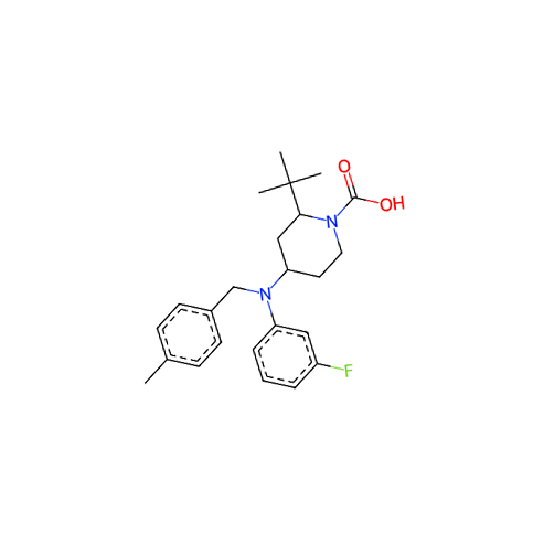 Cc1ccc(CN(c2cccc(F)c2)C2CCN(C(=O)O)C(C(C)(C)C)C2)cc1